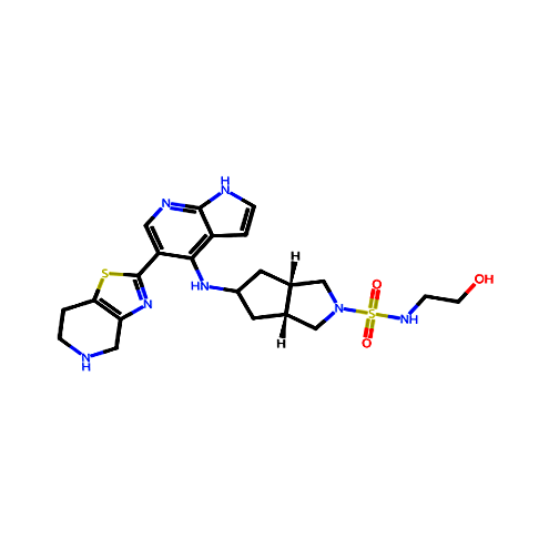 O=S(=O)(NCCO)N1C[C@H]2CC(Nc3c(-c4nc5c(s4)CCNC5)cnc4[nH]ccc34)C[C@H]2C1